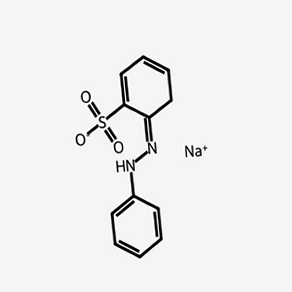 O=S(=O)([O-])C1=CC=CCC1=NNc1ccccc1.[Na+]